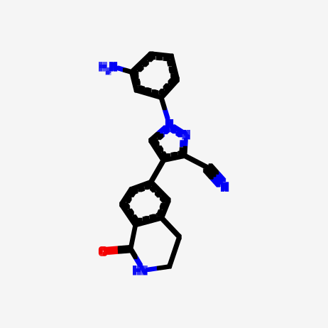 N#Cc1nn(-c2cccc(N)c2)cc1-c1ccc2c(c1)CCNC2=O